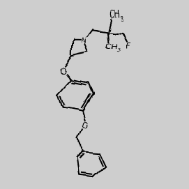 CC(C)(CF)CN1CC(Oc2ccc(OCc3ccccc3)cc2)C1